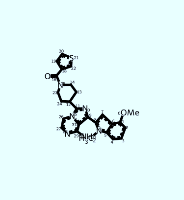 COc1cccc2c1cc(-c1nc(C3CCN(C(=O)c4ccsc4)CC3)n3ccnc(N)c13)n2C